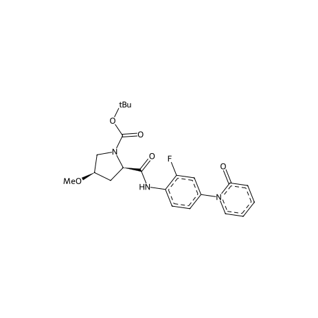 CO[C@@H]1C[C@H](C(=O)Nc2ccc(-n3ccccc3=O)cc2F)N(C(=O)OC(C)(C)C)C1